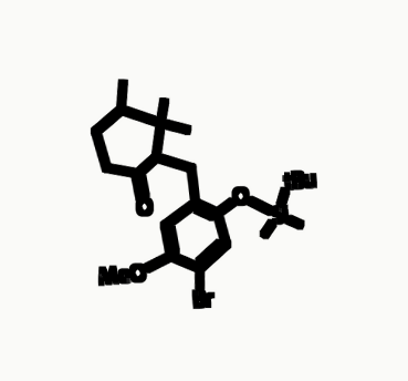 COc1cc(CC2C(=O)CCC(C)C2(C)C)c(O[Si](C)(C)C(C)(C)C)cc1Br